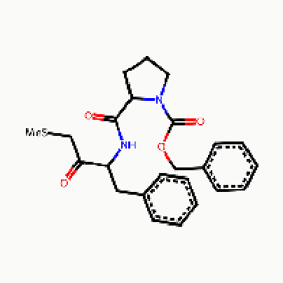 CSCC(=O)C(Cc1ccccc1)NC(=O)C1CCCN1C(=O)OCc1ccccc1